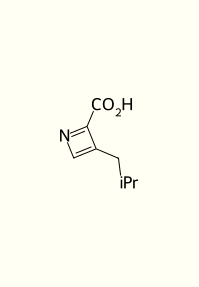 CC(C)CC1=CN=C1C(=O)O